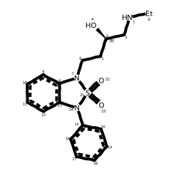 CCNC[C@H](O)CCN1c2ccccc2N(c2ccccc2)S1(=O)=O